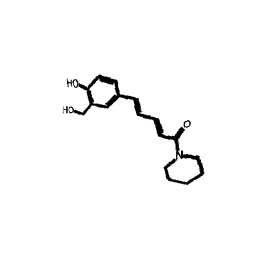 O=C(/C=C/C=C/c1ccc(O)c(CO)c1)N1CCCCC1